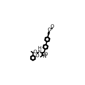 Cc1noc(-c2ccc(-c3ccc(C#COC=O)cc3)cc2)c1NC(=O)OC(C)c1ccccc1